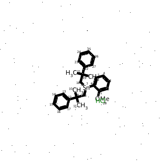 COc1cccc[c]1[Sn]([CH2]C(C)(C)c1ccccc1)[CH2]C(C)(C)c1ccccc1.Cl